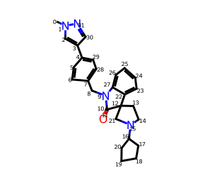 Cn1cc(-c2ccc(CN3C(=O)C4(CCN(C5CCCC5)C4)c4ccccc43)cc2)cn1